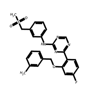 Cc1cccc(COc2cc(F)ccc2-c2ncnc(Nc3cccc(CS(C)(=O)=O)c3)n2)c1